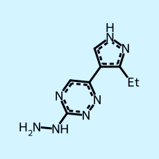 CCc1n[nH]cc1-c1cnc(NN)nn1